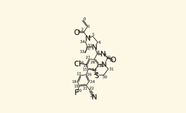 C=CC(=O)N1CCN(c2nc(=O)n3c4c(c(-c5ccc(F)c(C#N)c5)c(Cl)cc24)SCC3)[C@@H](C)C1